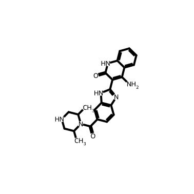 CC1CNCC(C)N1C(=O)c1ccc2nc(-c3c(N)c4ccccc4[nH]c3=O)[nH]c2c1